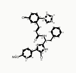 COc1ccc(-c2nc([C@H](Cc3ccccc3)NC(=O)/C=C/c3cc(Cl)ccc3-n3cnnn3)[nH]c2Cl)cn1